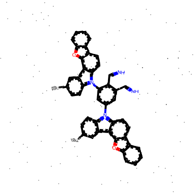 CC(C)(C)c1ccc2c(c1)c1c3oc4ccccc4c3ccc1n2-c1cc(C=N)c(C=N)c(-n2c3ccc(C(C)(C)C)cc3c3c4oc5ccccc5c4ccc32)c1